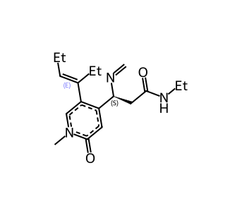 C=N[C@@H](CC(=O)NCC)c1cc(=O)n(C)cc1/C(=C/CC)CC